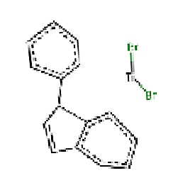 C1=Cc2ccccc2[C]1c1ccccc1.[Br][Ti][Br]